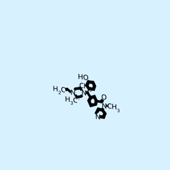 C=CCN1C[C@H](C)N([C@@H](c2cccc(O)c2)c2cccc(C(=O)N(C)c3ccncc3)c2)C[C@H]1C